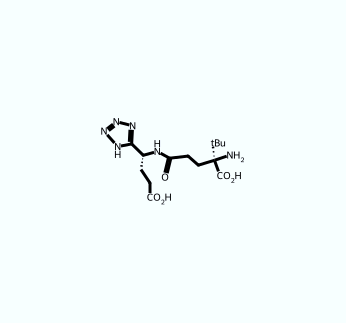 CC(C)(C)[C@@](N)(CCC(=O)N[C@H](CCC(=O)O)c1nnn[nH]1)C(=O)O